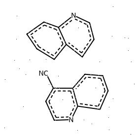 N#Cc1ccnc2ccccc12.c1ccc2ncccc2c1